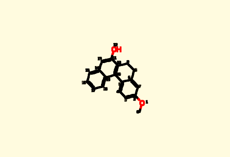 COc1ccc2c(c1)CCc1c(O)cc3ccccc3c1-2